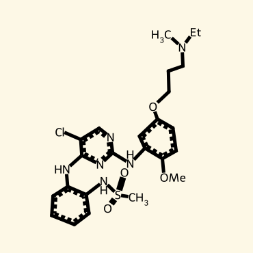 CCN(C)CCCOc1ccc(OC)c(Nc2ncc(Cl)c(Nc3ccccc3NS(C)(=O)=O)n2)c1